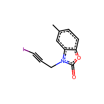 Cc1ccc2oc(=O)n(CC#CI)c2c1